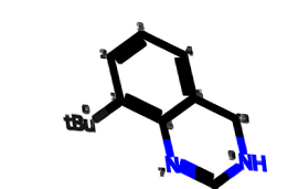 CC(C)(C)c1cccc2c1N=CNC2